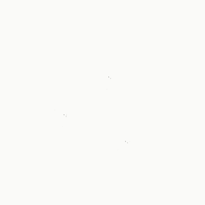 CCCCCc1nc(-c2ccc([N+](=O)[O-])cc2)c(-c2ccc([N+](=O)[O-])cc2)o1